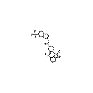 O=C(Cc1ccc2ncc(C(F)(F)F)cc2c1)N1CCC(n2c(=O)[nH]c3cccc(C(F)(F)F)c32)CC1